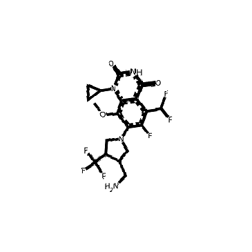 COc1c(N2CC(CN)C(C(F)(F)F)C2)c(F)c(C(F)F)c2c(=O)[nH]c(=O)n(C3CC3)c12